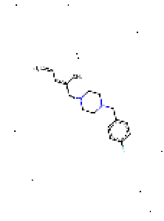 C=C/C=C(\C)CN1CCN(Cc2ccc(F)cc2)CC1